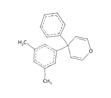 Cc1cc(C)cc(C2(c3ccccc3)C=COC=C2)c1